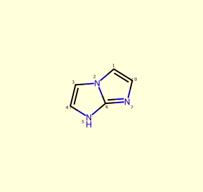 [c]1cn2c[c][nH]c2n1